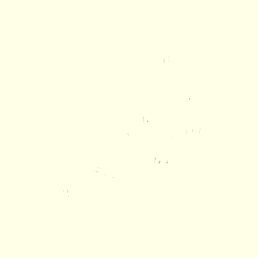 Cc1ccc2c(c1)NC(O)N2CC(C)O